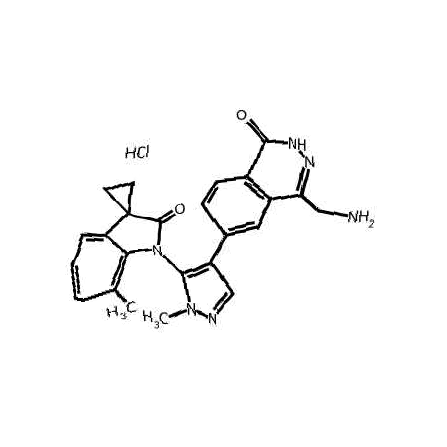 Cc1cccc2c1N(c1c(-c3ccc4c(=O)[nH]nc(CN)c4c3)cnn1C)C(=O)C21CC1.Cl